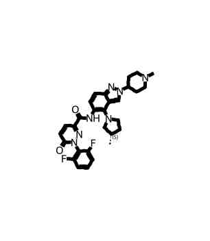 C[C@H]1CCN(c2c(NC(=O)c3ccc(=O)n(-c4c(F)cccc4F)n3)ccc3nn(C4CCN(C)CC4)cc23)C1